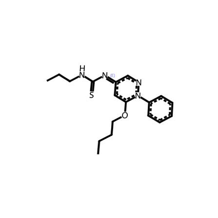 CCCCOc1c/c(=N\C(=S)NCCC)cnn1-c1ccccc1